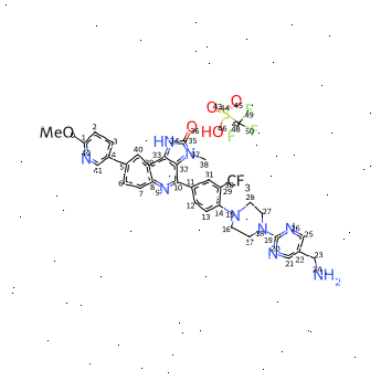 COc1ccc(-c2ccc3nc(-c4ccc(N5CCN(c6ncc(CN)cn6)CC5)c(C(F)(F)F)c4)c4c([nH]c(=O)n4C)c3c2)cn1.O=S(=O)(O)C(F)(F)F